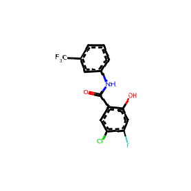 O=C(Nc1cccc(C(F)(F)F)c1)c1cc(Cl)c(F)cc1O